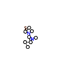 c1ccc(-c2ccccc2-c2cccc3c2c2ccc(N(c4ccccc4)c4cccc5sc6ccccc6c45)cc2n3-c2ccccc2)cc1